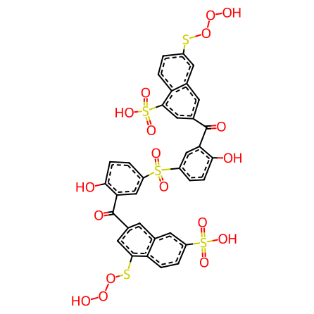 O=C(c1cc(SOOO)c2ccc(S(=O)(=O)O)cc2c1)c1cc(S(=O)(=O)c2ccc(O)c(C(=O)c3cc(S(=O)(=O)O)c4ccc(SOOO)cc4c3)c2)ccc1O